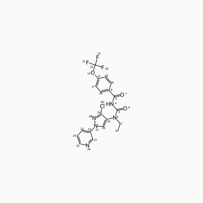 CCN(C(=O)NC(=O)c1ccc(OC(F)(F)F)cc1)c1cn(-c2cccnc2)nc1Cl